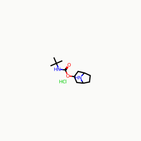 CC(C)(C)NC(=O)OC1CC2CCC(C1)N2.Cl